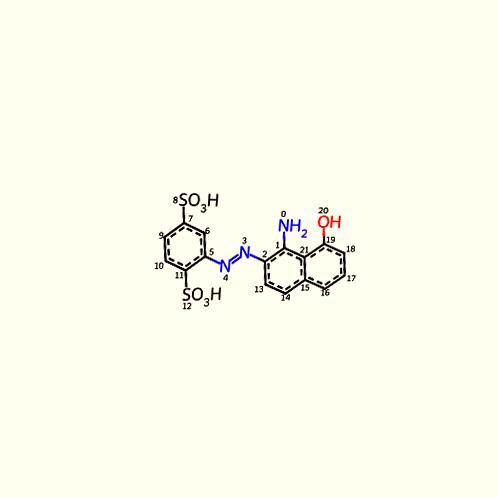 Nc1c(N=Nc2cc(S(=O)(=O)O)ccc2S(=O)(=O)O)ccc2cccc(O)c12